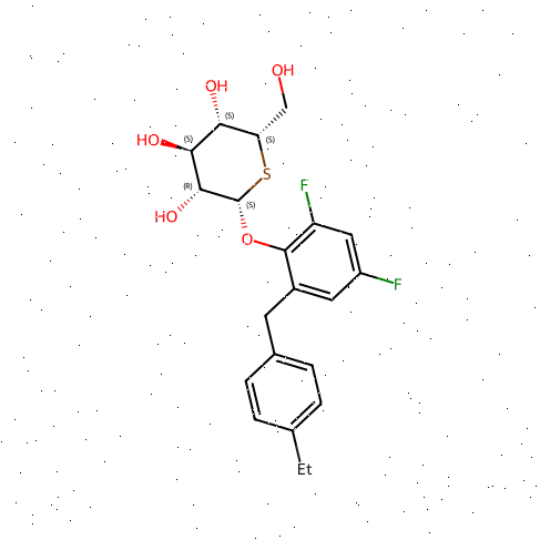 CCc1ccc(Cc2cc(F)cc(F)c2O[C@H]2S[C@@H](CO)[C@@H](O)[C@H](O)[C@H]2O)cc1